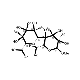 CO[C@H]1O[C@H](C(O)C(C)=O)[C@](O)([C@@H]2O[C@H](C(O)C(C)=O)[C@@](O)(C(C)=O)[C@@](O)(C(C)=O)[C@]2(O)C(C)=O)[C@@](O)(C(C)=O)[C@]1(O)C(C)=O